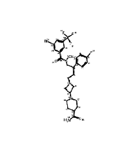 CN(CC(CCN1CC(N2CCC(C(N)=O)CC2)C1)c1ccc(F)cc1)C(=O)c1cc(Br)cc(C(F)(F)F)c1